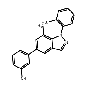 Cc1ccncc1-n1ncc2cc(-c3cccc(C#N)c3)cc(C)c21